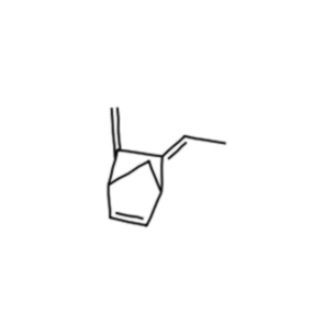 C=C1C(=CC)C2C=CC1C2